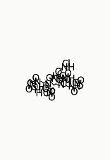 O=C(NCCCN(CCCC(C(=O)NCCOCCNCl)N(CCCNC(=O)c1cccc(=O)n1O)C(=O)c1cccc(=O)n1O)C(=O)c1cccc(=O)n1O)c1cccc(=O)n1O